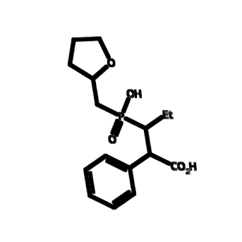 CCC(C(C(=O)O)c1ccccc1)P(=O)(O)CC1CCCO1